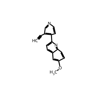 C#Cc1cnccc1-c1ccc2cc(OC)ccc2n1